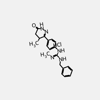 CN=C(NCc1ccccc1)Nc1ccc(C2=NNC(=O)CC2C)cc1.Cl